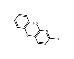 CCc1ccc(Oc2ccccc2)c(O)n1